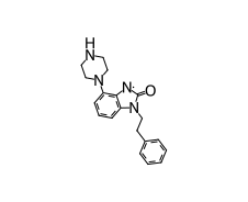 O=C1[N]c2c(N3CCNCC3)cccc2N1CCc1ccccc1